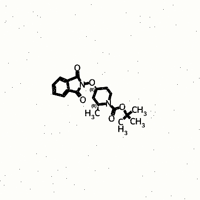 C[C@@H]1C[C@H](ON2C(=O)c3ccccc3C2=O)CCN1C(=O)OC(C)(C)C